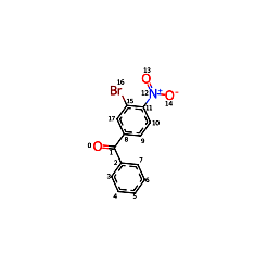 O=C(c1ccccc1)c1ccc([N+](=O)[O-])c(Br)c1